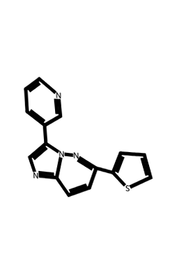 c1cncc(-c2cnc3ccc(-c4cccs4)nn23)c1